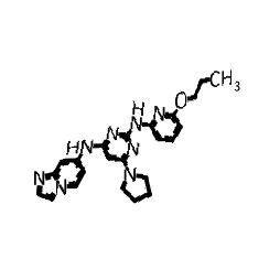 CCCOc1cccc(Nc2nc(Nc3ccn4ccnc4c3)cc(N3CCCC3)n2)n1